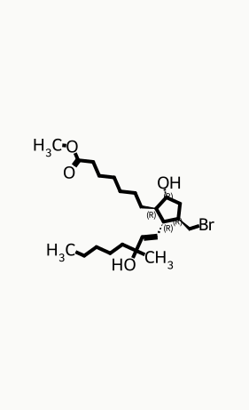 CCCCCC(C)(O)C=C[C@H]1[C@H](CBr)C[C@@H](O)[C@@H]1CCCCCCC(=O)OC